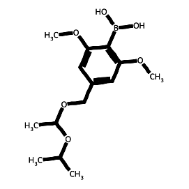 COc1cc(COC(C)OC(C)C)cc(OC)c1B(O)O